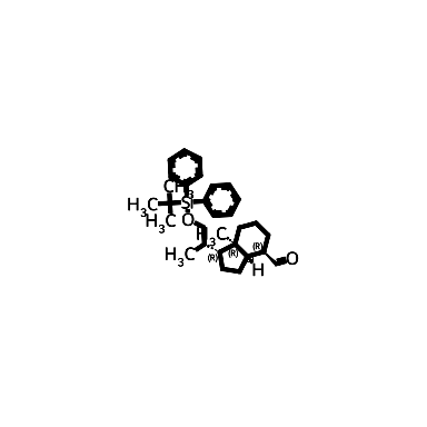 CC(CO[Si](c1ccccc1)(c1ccccc1)C(C)(C)C)[C@H]1CC[C@H]2[C@H](C=O)CCC[C@]12C